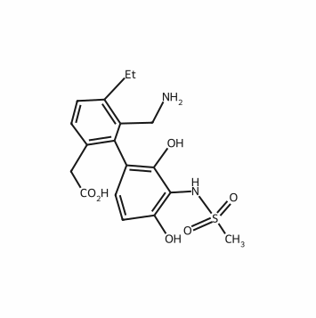 CCc1ccc(CC(=O)O)c(-c2ccc(O)c(NS(C)(=O)=O)c2O)c1CN